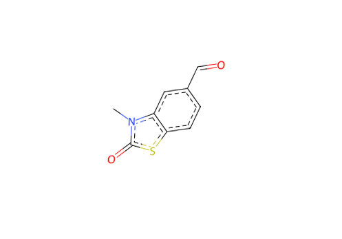 Cn1c(=O)sc2ccc(C=O)cc21